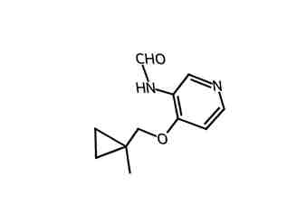 CC1(COc2ccncc2NC=O)CC1